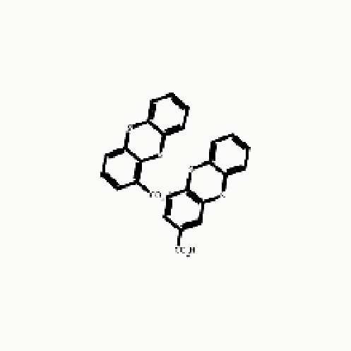 O=C(O)c1ccc2c(c1)Sc1ccccc1S2.O=C(O)c1cccc2c1Sc1ccccc1S2